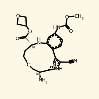 COC(=O)Nc1ccc2c(c1)N[C@@H](C(=O)OC1COC1)CCCC[C@H](N)c1nc-2c(C#N)[nH]1